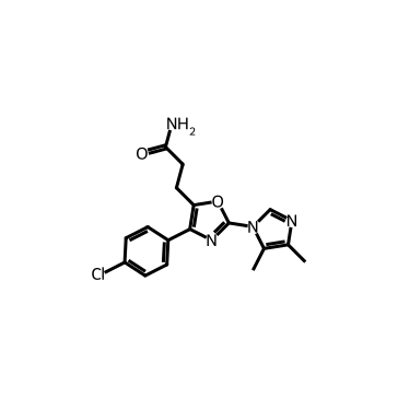 Cc1ncn(-c2nc(-c3ccc(Cl)cc3)c(CCC(N)=O)o2)c1C